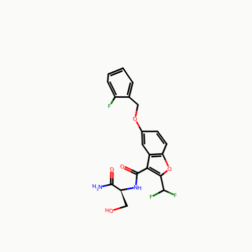 NC(=O)[C@H](CO)NC(=O)c1c(C(F)F)oc2ccc(OCc3ccccc3F)cc12